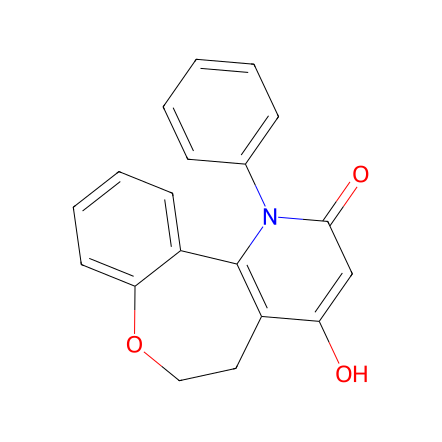 O=c1cc(O)c2c(n1-c1ccccc1)-c1ccccc1OCC2